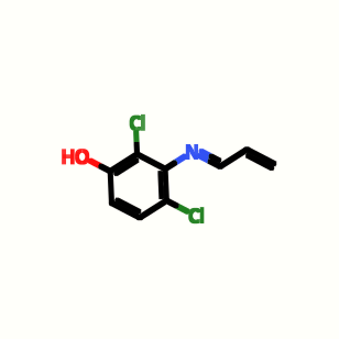 C=CC=Nc1c(Cl)ccc(O)c1Cl